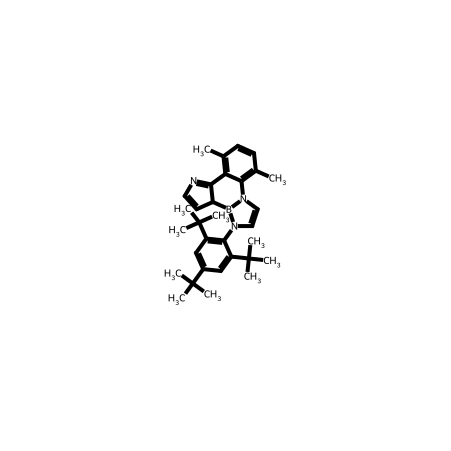 Cc1ccc(C)c2c1C1=NC=CC1B1N(c3c(C(C)(C)C)cc(C(C)(C)C)cc3C(C)(C)C)C=CN12